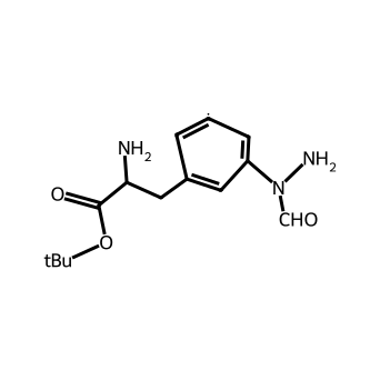 CC(C)(C)OC(=O)C(N)Cc1c[c]cc(N(N)C=O)c1